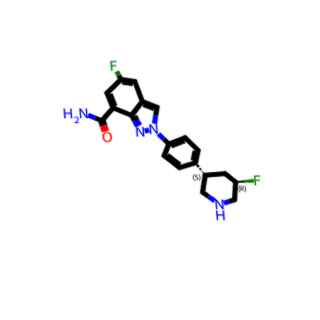 NC(=O)c1cc(F)cc2cn(-c3ccc([C@H]4CNC[C@H](F)C4)cc3)nc12